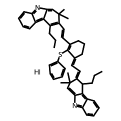 CCCC1=C(C=CC2=C(Sc3ccccc3)C(=CC=C3C(CCC)C4=c5ccccc5=NC4=CC3(C)C)CCC2)C(C)(C)C=C2N=c3ccccc3=C21.I